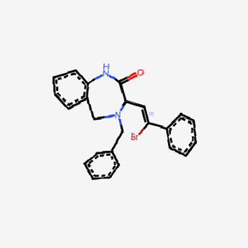 O=C1Nc2ccccc2CN(Cc2ccccc2)C1/C=C(\Br)c1ccccc1